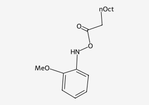 CCCCCCCCCC(=O)ONc1ccccc1OC